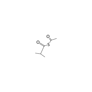 CC(=O)SC(=O)C(C)C